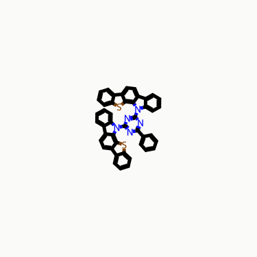 c1ccc(-c2nc(-n3c4ccccc4c4ccc5c6ccccc6sc5c43)nc(-n3c4ccccc4c4ccc5c6ccccc6sc5c43)n2)cc1